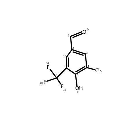 O=Cc1cc(Cl)c(O)c(C(F)(F)F)c1